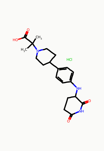 CC(C)(C(=O)O)N1CCC(c2ccc(NC3CCC(=O)NC3=O)cc2)CC1.Cl